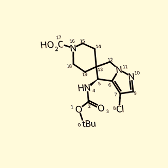 CC(C)(C)OC(=O)N[C@@H]1c2c(Cl)cnn2CC12CCN(C(=O)O)CC2